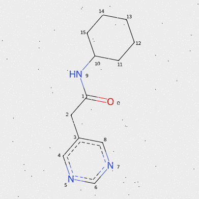 O=C(Cc1cncnc1)NC1CCCCC1